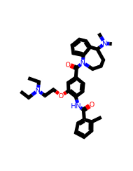 CCN(CC)CCOc1cc(C(=O)N2CCCC(N(C)C)c3ccccc32)ccc1NC(=O)c1ccccc1C